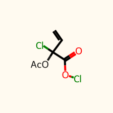 C=CC(Cl)(OC(C)=O)C(=O)OCl